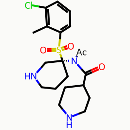 CC(=O)N(C(=O)C1CCNCC1)[C@]1(S(=O)(=O)c2cccc(Cl)c2C)CCCNC1